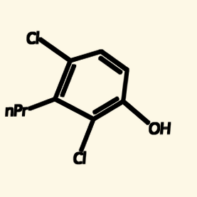 CCCc1c(Cl)ccc(O)c1Cl